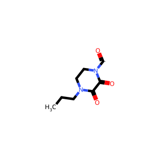 CCCN1CCN([C]=O)C(=O)C1=O